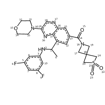 CC(Nc1cc(F)cc(F)c1)c1cc(C(=O)N2CC3(C2)CS(=O)(=O)C3)cc2ncc(N3CCOCC3)nc12